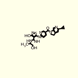 CC(CO)NC(=N)c1c(O)nsc1Nc1ccc(C(=O)N2CCc3cc(C4CC4)ncc32)cn1